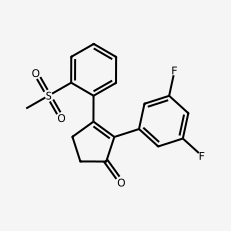 CS(=O)(=O)c1ccccc1C1=C(c2cc(F)cc(F)c2)C(=O)CC1